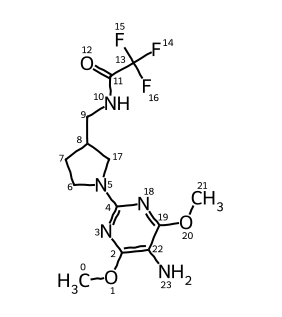 COc1nc(N2CCC(CNC(=O)C(F)(F)F)C2)nc(OC)c1N